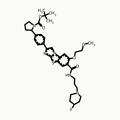 COCCOc1cc2c(cc1C(=O)NCCCN1CCC(F)CC1)sc1nc(-c3ccc(C4CCCN4C(=O)OC(C)(C)C)cc3)cn12